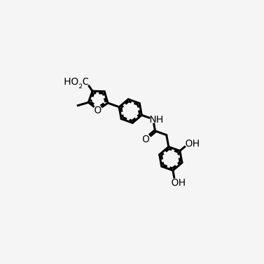 Cc1oc(-c2ccc(NC(=O)Cc3ccc(O)cc3O)cc2)cc1C(=O)O